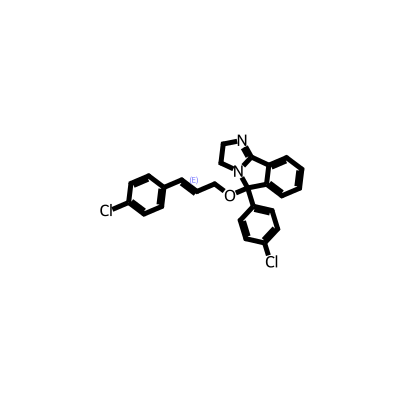 Clc1ccc(/C=C/COC2(c3ccc(Cl)cc3)c3ccccc3C3=NCCN32)cc1